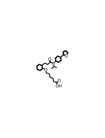 CC(C)N(C(=O)CCc1ccccc1OCCCCCC(=O)O)c1ccc(-c2ccco2)cc1